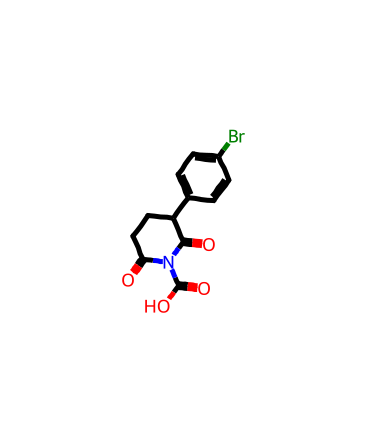 O=C(O)N1C(=O)CCC(c2ccc(Br)cc2)C1=O